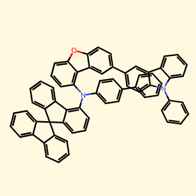 c1ccc(-c2ccc(N(c3cccc4c3-c3ccccc3C43c4ccccc4-c4ccccc43)c3cccc4oc5ccc(-c6ccc7c(c6)c6ccccc6n7-c6ccccc6)cc5c34)cc2)cc1